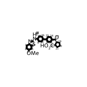 COc1ccc2nc(Nc3ccc(-c4ccc(C(=O)[C@H]5CCC[C@@H]5C(=O)O)cc4)cc3F)sc2c1